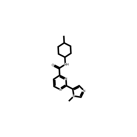 CC1CCC(NC(=O)c2ccnc(-c3cncn3C)n2)CC1